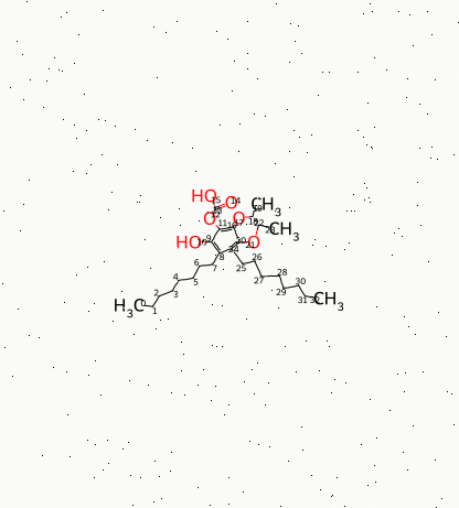 CCCCCCCCc1c(O)c(OC(=O)O)c(OCC)c(OCC)c1CCCCCCCC